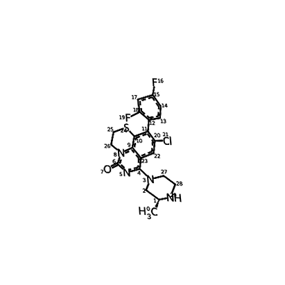 C[C@H]1CN(c2nc(=O)n3c4c(c(-c5ccc(F)cc5F)c(Cl)cc24)SCC3)CCN1